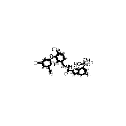 CS(=O)(=O)c1cc(F)cc2cc(C(=O)NCc3ccc(Cl)c(Oc4cc(Cl)cc(C#N)c4)c3F)[nH]c12